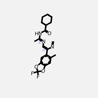 C=N/C(=C\N=C(/C)NC(=O)C1CCCCC1)c1cc2c(cc1C)OC(F)(F)O2